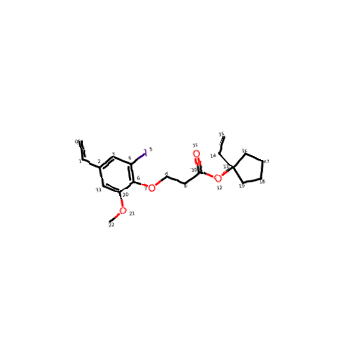 C=Cc1cc(I)c(OCCC(=O)OC2(CC)CCCC2)c(OC)c1